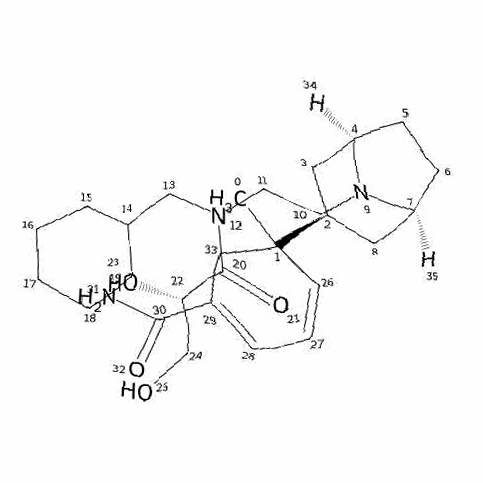 CC1([C@H]2C[C@H]3CC[C@@H](C2)N3CCN(CC2CCCCC2)C(=O)[C@@H](O)CO)C=CC=C(C(N)=O)C1